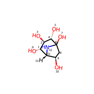 O[C@@H]1[C@@H](O)[C@H](O)C2(O)C[C@@H](O)[C@H]1N2